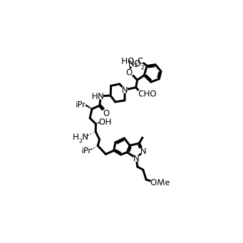 COCCCn1nc(C)c2ccc(C[C@@H](C[C@H](N)[C@@H](O)C[C@H](C(=O)NC3CCN(C(C=O)C(O[N+](=O)[O-])c4ccccc4C(=O)O)CC3)C(C)C)C(C)C)cc21